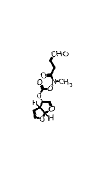 CN(OC(=O)O[C@@H]1CO[C@@H]2OCC[C@@H]21)C(=O)CCC=O